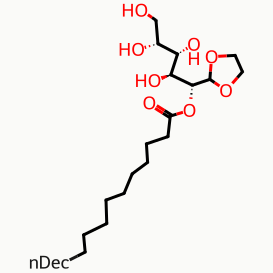 CCCCCCCCCCCCCCCCCCCC(=O)O[C@@H](C1OCCO1)[C@@H](O)[C@@H](O)[C@H](O)CO